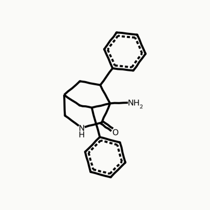 NC12C(=O)NCC(CC1c1ccccc1)CC2c1ccccc1